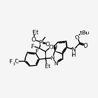 CCOP(C)(=O)C(F)(F)C(O)C(CC)(c1ccc(C(F)(F)F)cc1)n1ncc2c(NC(=O)OC(C)(C)C)cccc21